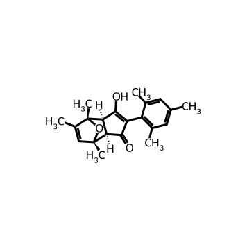 CC1=C[C@]2(C)O[C@@]1(C)[C@H]1C(O)=C(c3c(C)cc(C)cc3C)C(=O)[C@H]12